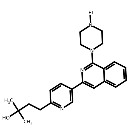 CCN1CCN(c2nc(-c3ccc(CCC(C)(C)O)nc3)cc3ccccc23)CC1